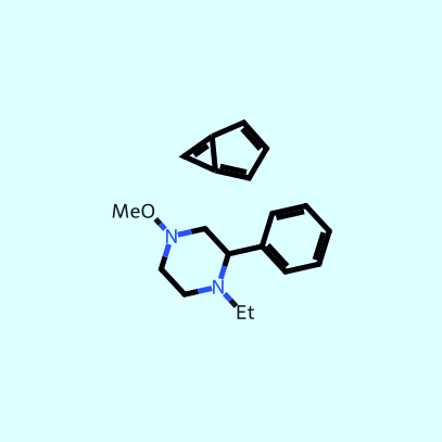 CCN1CCN(OC)CC1c1ccccc1.c1cc2cc-2c1